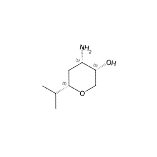 CC(C)[C@@H]1C[C@H](N)[C@H](O)CO1